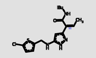 C/C=C(\C(=O)NC(C)CC)c1cc(NCc2ccc(Cl)s2)[nH]n1